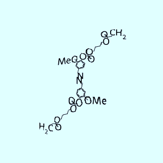 C=CC(=O)OCCCCOC(=O)Oc1ccc(/C=N/N=C/c2ccc(OC(=O)OCCCCOC(=O)C=C)c(OC)c2)cc1OC